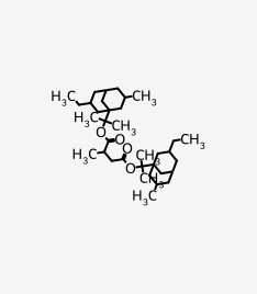 CCC1CC2CC(C)CC(C(C)(C)OC(=O)CC(C)C(=O)OC(C)(C)C34CC(C)CC(CC(CC)C3)C4)(C1)C2